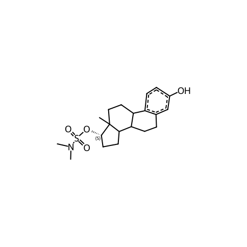 CN(C)S(=O)(=O)O[C@H]1CCC2C3CCc4cc(O)ccc4C3CCC21C